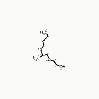 CCCCOC(C)COCCO